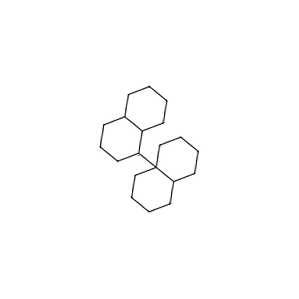 C1CCC2[C](C34CCCCC3CCCC4)CCCC2C1